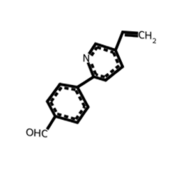 C=Cc1ccc(-c2ccc(C=O)cc2)nc1